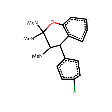 CNC1C(c2ccc(F)cc2)c2cc[c]cc2OC1(NC)NC